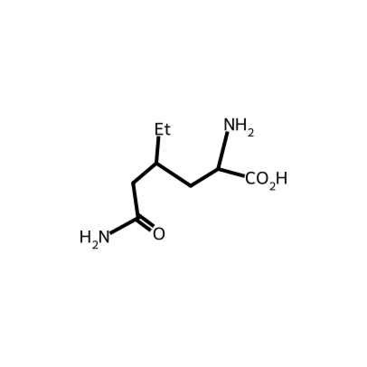 CCC(CC(N)=O)CC(N)C(=O)O